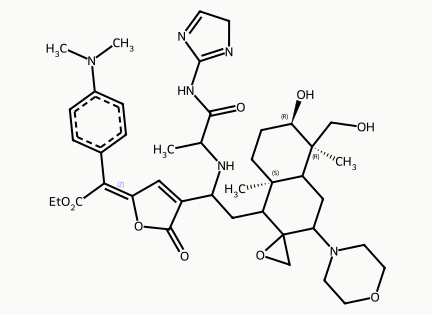 CCOC(=O)/C(=C1/C=C(C(CC2C3(CO3)C(N3CCOCC3)CC3[C@]2(C)CC[C@@H](O)[C@@]3(C)CO)NC(C)C(=O)NC2=NCC=N2)C(=O)O1)c1ccc(N(C)C)cc1